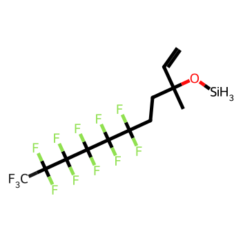 C=CC(C)(CCC(F)(F)C(F)(F)C(F)(F)C(F)(F)C(F)(F)C(F)(F)F)O[SiH3]